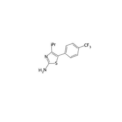 CC(C)c1nc(N)sc1-c1ccc(C(F)(F)F)cc1